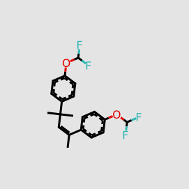 C/C(=C/C(C)(C)c1ccc(OC(F)F)cc1)c1ccc(OC(F)F)cc1